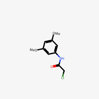 COc1cc(NC(=O)CCl)cc(OC)c1